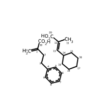 C=C(CCc1ccccc1)C(=O)O.CC(=CC1CCCCC1)C(=O)O